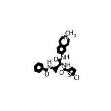 CN1CCc2ccc(NC(=O)[C@H](NC(=O)c3ccc(Cl)s3)C3CC3NC(=O)c3ccccc3)cc2CC1